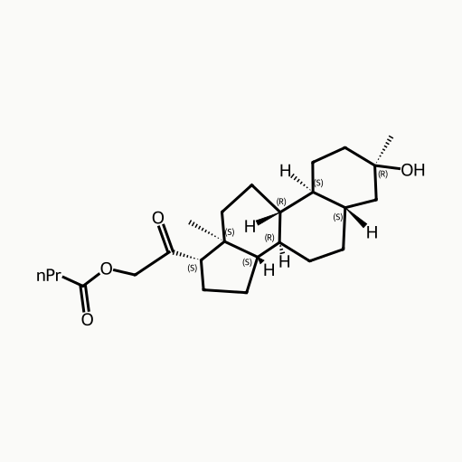 CCCC(=O)OCC(=O)[C@H]1CC[C@H]2[C@@H]3CC[C@H]4C[C@](C)(O)CC[C@@H]4[C@H]3CC[C@]12C